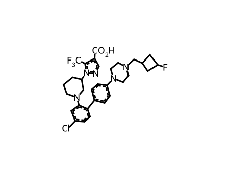 O=C(O)c1cnn(C2CCCN(c3cc(Cl)ccc3-c3ccc(N4CCN(CC5CC(F)C5)CC4)cc3)C2)c1C(F)(F)F